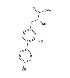 COC(=O)C(N)Cc1ccc(-c2ccc(C#N)cc2)cc1.Cl